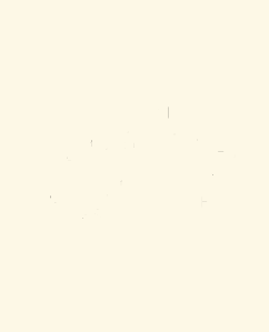 COc1ccc(Oc2ccc(C(F)(F)F)cc2Cl)cc1SC